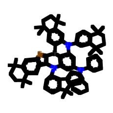 CC1(C)CCC(C)(C)c2cc(N3c4cc5c(cc4B4c6sc7cc8c(cc7c6N(c6cccc7c6-c6ccccc6C7(C)C)c6cc(N(C7=CC=CCC7)c7ccccc7)cc3c64)C(C)(C)CCC8(C)C)C(C)(C)CCC5(C)C)ccc21